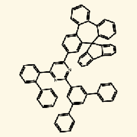 c1ccc(-c2cc(-c3ccccc3)cc(-c3nc(-c4ccc5c(c4)C4(c6ccccc6-c6ccccc6-5)c5ccccc5-c5ccccc54)cc(-c4ccccc4-c4ccccc4)n3)c2)cc1